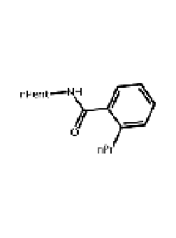 CCCCCNC(=O)c1ccccc1CCC